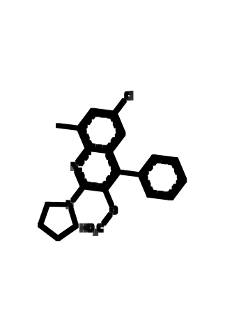 Cc1cc(Cl)cc2c(-c3ccccc3)c(OC(=O)O)c(N3CCCC3)nc12